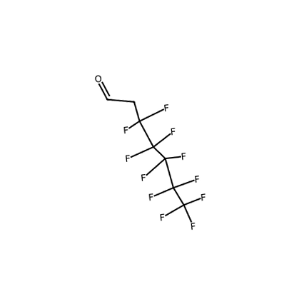 O=CCC(F)(F)C(F)(F)C(F)(F)C(F)(F)C(F)(F)F